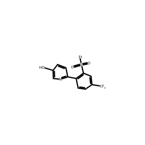 CCS(=O)(=O)c1cc(C(F)(F)F)ccc1-c1ccc(O)cn1